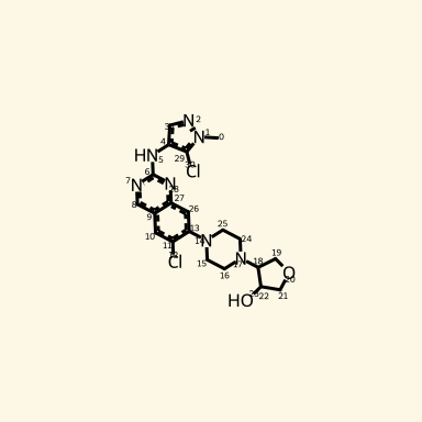 Cn1ncc(Nc2ncc3cc(Cl)c(N4CCN(C5COCC5O)CC4)cc3n2)c1Cl